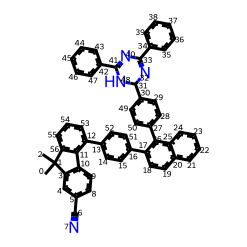 CC1(C)c2cc(C#N)ccc2-c2c(-c3ccc(-c4ccc5ccccc5c4-c4ccc(C5N=C(c6ccccc6)N=C(c6ccccc6)N5)cc4)cc3)cccc21